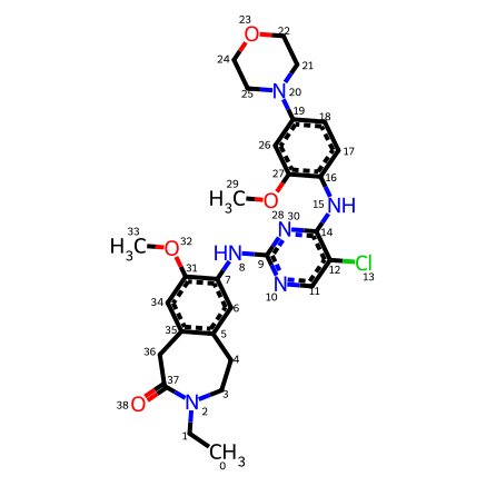 CCN1CCc2cc(Nc3ncc(Cl)c(Nc4ccc(N5CCOCC5)cc4OC)n3)c(OC)cc2CC1=O